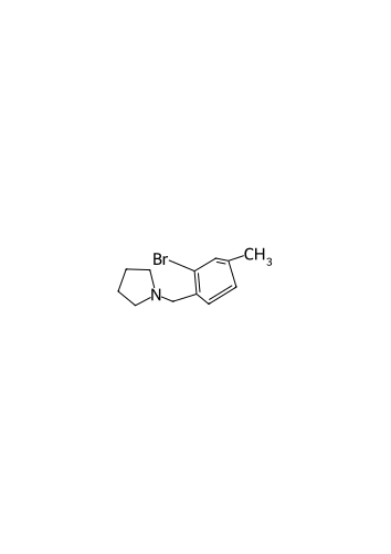 Cc1ccc(CN2CCCC2)c(Br)c1